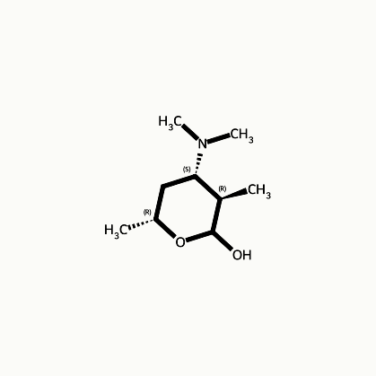 C[C@@H]1C[C@H](N(C)C)[C@@H](C)C(O)O1